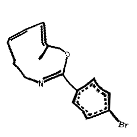 C/C1=C\C=C/CC/N=C(/c2ccc(Br)cc2)O1